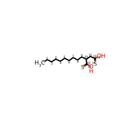 CCCCCCCCCCC(CC(O)=S)C(O)=S